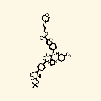 COC1CCC([C@@H]2CCN(C(=O)C3CCC([C@@H](CF)NC(=O)OC(C)(C)C)CC3)[C@H]2C(=O)Nc2ccc3oc(C(=O)OCCCN4CCOCC4)cc3c2)CC1